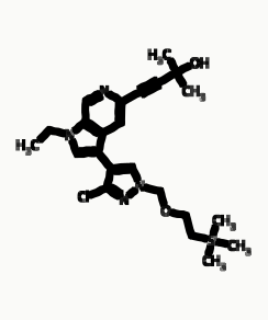 CCn1cc(-c2cn(COCC[Si](C)(C)C)nc2Cl)c2cc(C#CC(C)(C)O)ncc21